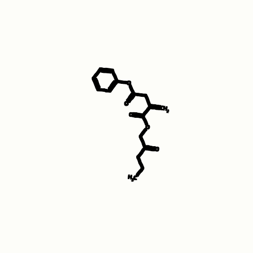 C=C(CC(=O)Oc1ccccc1)C(=O)OCC(=O)CCC